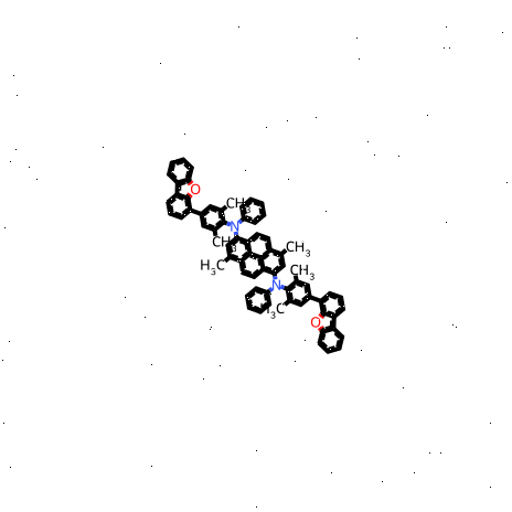 Cc1cc(-c2cccc3c2oc2ccccc23)cc(C)c1N(c1ccccc1)c1cc(C)c2ccc3c(N(c4ccccc4)c4c(C)cc(-c5cccc6c5oc5ccccc56)cc4C)cc(C)c4ccc1c2c43